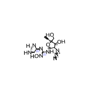 C#C[C@]1(CO)O[C@@H](NC(=N/O)/N=C(/N)C=N)C(N=[N+]=[N-])[C@@H]1O